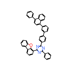 c1ccc(-c2nc(-c3ccc(-c4cccc(-c5ccc(-c6ccccc6)c6ccccc56)c4)cc3)nc(-c3cccc4c3oc3ccccc34)n2)cc1